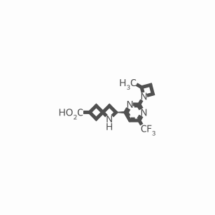 CC1CCN1c1nc([C@@H]2CC3(CC(C(=O)O)C3)N2)cc(C(F)(F)F)n1